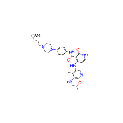 COCCCN1CCN(c2ccc(NC(=O)c3c(Nc4cnc5c(c4C)NCC(C)O5)cc[nH]c3=O)cc2)CC1